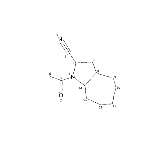 CC(=O)N1C(C#N)CC2CCCCCC21